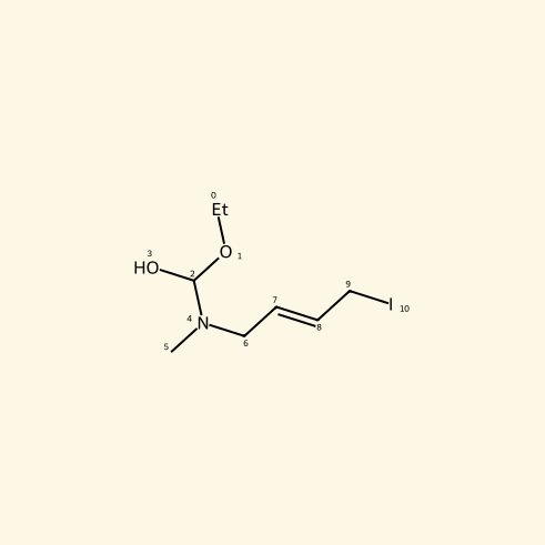 CCOC(O)N(C)C/C=C/CI